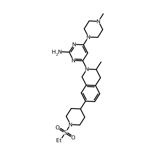 CCS(=O)(=O)N1CCC(c2ccc3c(c2)CN(c2cc(N4CCN(C)CC4)nc(N)n2)C(C)C3)CC1